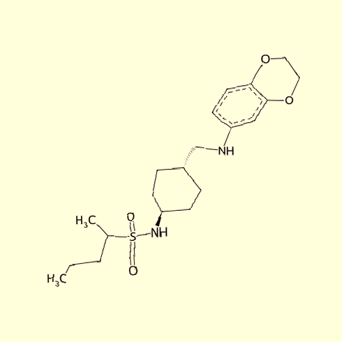 CCCC(C)S(=O)(=O)N[C@H]1CC[C@H](CNc2ccc3c(c2)OCCO3)CC1